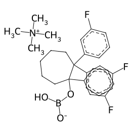 C[N+](C)(C)C.[O-]B(O)OC1(c2cccc(F)c2)CCCCCC1(c1cccc(F)c1)c1cccc(F)c1